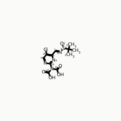 CC(C)(C)[S+]([O-])/N=C/c1nc(N(C(=O)O)C(=O)O)ncc1Cl